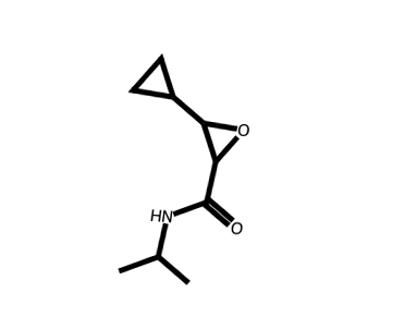 CC(C)NC(=O)C1OC1C1CC1